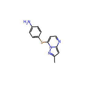 Cc1cc2nccc(Sc3ccc(N)cc3)n2n1